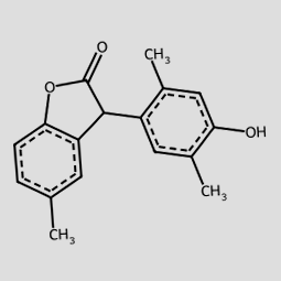 Cc1ccc2c(c1)C(c1cc(C)c(O)cc1C)C(=O)O2